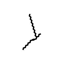 [CH2]CCCCCCCC#CCC(CCC)CCCCCCCCCCCCC[CH2]